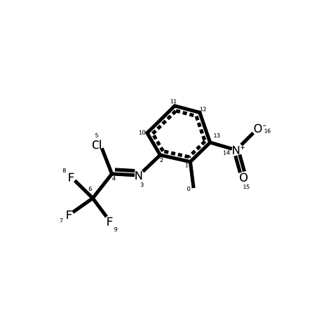 Cc1c(N=C(Cl)C(F)(F)F)cccc1[N+](=O)[O-]